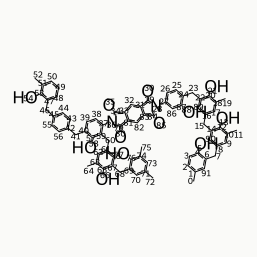 Cc1ccc(O)c(Cc2cc(C)c(O)c(Cc3cc(C)c(O)c(Cc4ccc(-n5c(=O)c6cc7c(=O)n(-c8ccc(Cc9ccc(Cc%10cccc(C)c%10O)cc9)c(O)c8Cc8cc(C)c(O)c(Cc9cc(C)cc(C)c9O)c8)c(=O)c7cc6c5=O)cc4O)c3)c2)c1